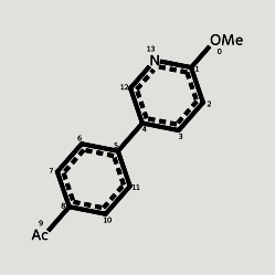 COc1ccc(-c2ccc(C(C)=O)cc2)cn1